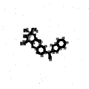 CC(C)[C@]1(C)CC(=O)N(Cc2ccc(C(=O)N3Cc4ccccc4C3)cc2)C(=N)N1